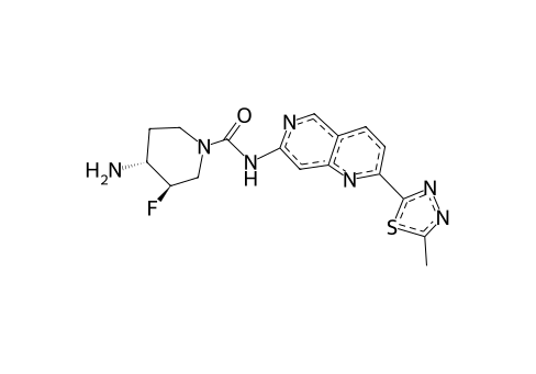 Cc1nnc(-c2ccc3cnc(NC(=O)N4CC[C@@H](N)[C@H](F)C4)cc3n2)s1